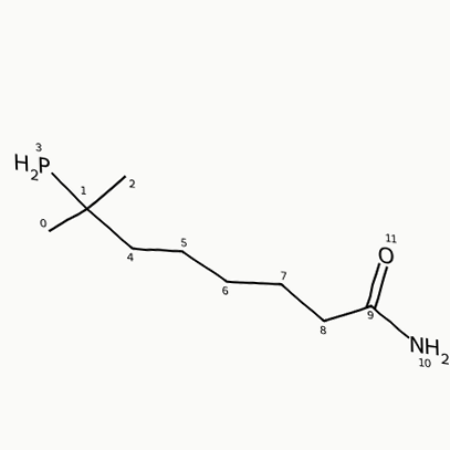 CC(C)(P)CCCCCC(N)=O